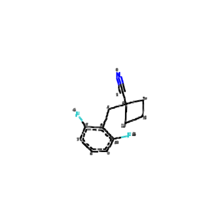 N#CC1(Cc2c(F)cccc2F)CCC1